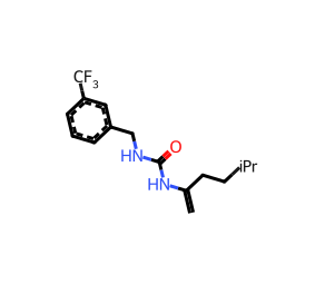 C=C(CCC(C)C)NC(=O)NCc1cccc(C(F)(F)F)c1